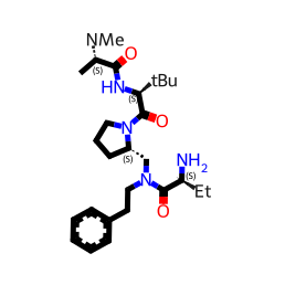 CC[C@H](N)C(=O)N(CCc1ccccc1)C[C@@H]1CCCN1C(=O)[C@@H](NC(=O)[C@H](C)NC)C(C)(C)C